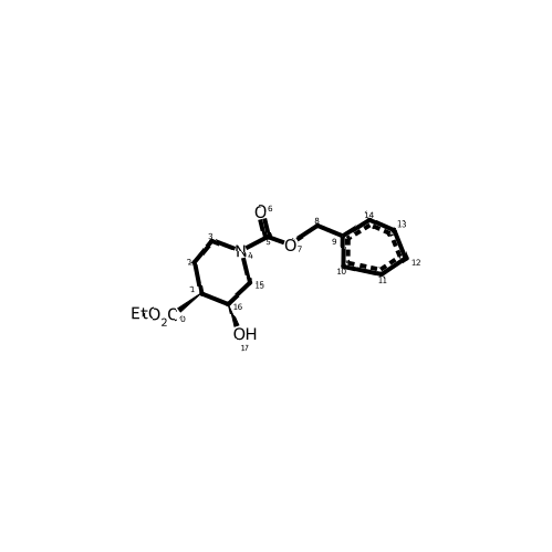 CCOC(=O)[C@H]1CCN(C(=O)OCc2ccccc2)C[C@H]1O